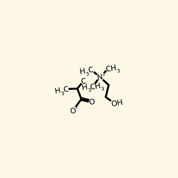 CC(C)C(=O)[O-].C[N+](C)(C)CCO